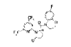 O=C([C@@H]1CCC(=O)N1c1cc(C(F)(F)F)cc(C(F)(F)F)n1)N1CCOc2cc(F)ccc21